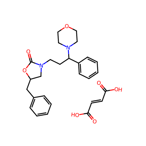 O=C(O)/C=C/C(=O)O.O=C1OC(Cc2ccccc2)CN1CCC(c1ccccc1)N1CCOCC1